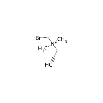 C#CC[N+](C)(C)CBr